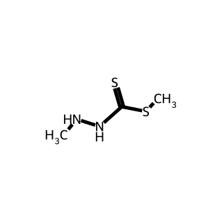 CNNC(=S)SC